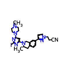 CC1Cc2ccc(-c3ccn(CCC#N)n3)cc2CN1c1cc(N2CCN(C)CC2)nc(I)n1